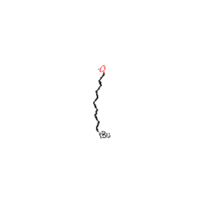 CC(C)(C)CCCCCCCCCC[O]